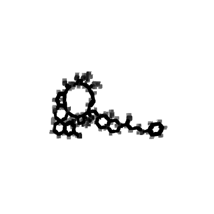 CO[C@@]1(CN2CCN3CCN(C(=O)CCSc4ccccc4)C[C@@H]3C2)/C=C/C[C@H](C)[C@@H](C)S(=O)(=O)NC(=O)c2ccc3c(c2)N(C[C@@H]2CC[C@H]21)C[C@@]1(CCCc2cc(Cl)ccc21)CO3